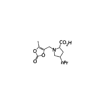 CCCC1CC(C(=O)O)N(Cc2oc(=O)oc2C)C1